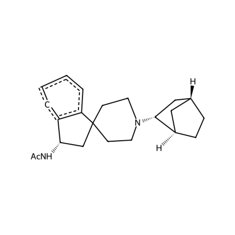 CC(=O)N[C@H]1CC2(CCN([C@@H]3C[C@@H]4CC[C@@H]3C4)CC2)c2ccccc21